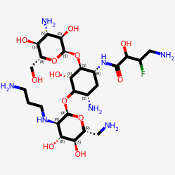 NCCCN[C@H]1[C@@H](OC2[C@@H](N)C[C@@H](NC(=O)C(O)C(F)CN)[C@H](O[C@H]3O[C@H](CO)[C@@H](O)[C@H](N)[C@H]3O)[C@H]2O)O[C@H](CN)[C@@H](O)[C@@H]1O